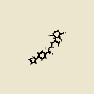 Cc1[nH]c2c(F)ccc(C)c2c1CCNC(=O)c1ccc(-c2cccs2)cc1